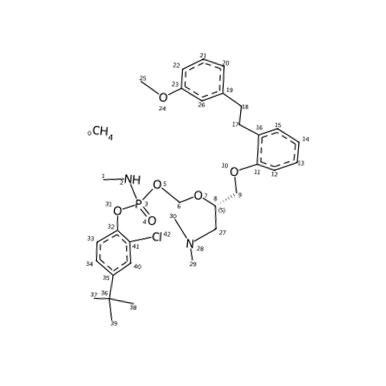 C.CNP(=O)(OCO[C@H](COc1ccccc1CCc1cccc(OC)c1)CN(C)C)Oc1ccc(C(C)(C)C)cc1Cl